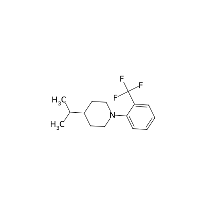 CC(C)C1CCN(c2ccccc2C(F)(F)F)CC1